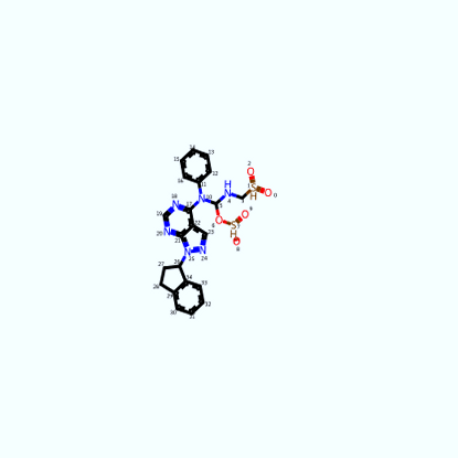 O=[SH](=O)CNC(O[SH](=O)=O)N(c1ccccc1)c1ncnc2c1cnn2C1CCc2c[c]ccc21